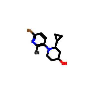 N#Cc1nc(Br)ccc1N1CC[C@H](O)C[C@@H]1C1CC1